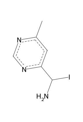 Cc1cc(C(N)I)ncn1